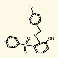 O=S(=O)(c1cc[c]cc1)c1cc[c]c(O)c1OCc1ccc(Cl)cc1